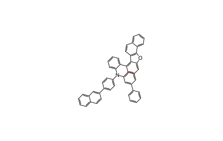 c1ccc(-c2cccc(N(c3ccc(-c4ccc5ccccc5c4)cc3)c3ccccc3-c3cccc4oc5c6ccccc6ccc5c34)c2)cc1